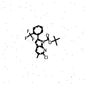 Cc1cc2cc(-c3ccccc3C(F)(F)F)n(C(=O)OC(C)(C)C)c2nc1Cl